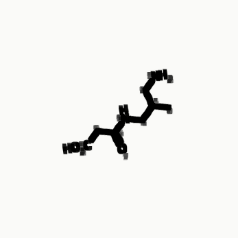 CC(CN)CNC(=O)CC(=O)O